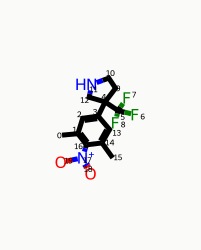 Cc1cc(C2(C(F)(F)F)CCNC2)cc(C)c1[N+](=O)[O-]